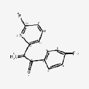 C=C(C(=O)c1ccc(F)cc1)c1cccc(F)n1